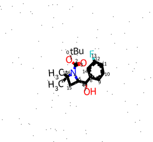 CC(C)(C)OC(=O)N1C([C@H](O)c2cccc(F)c2)CC1(C)C